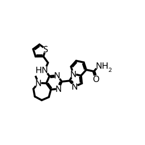 CN1CCCCc2nc(-c3ncc4c(C(N)=O)cccn34)nc(NCc3cccs3)c21